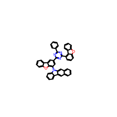 c1ccc(-c2nc(-c3cc(-n4c5ccccc5c5cc6ccccc6cc54)c4oc5ccccc5c4c3)nc(-c3cccc4oc5ccccc5c34)n2)cc1